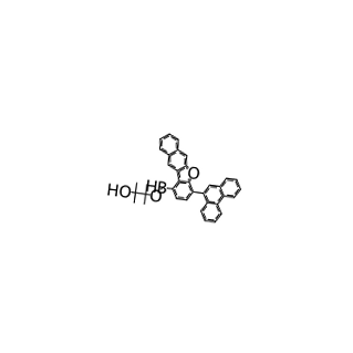 CC(C)(O)C(C)(C)OBc1ccc(-c2cc3ccccc3c3ccccc23)c2oc3cc4ccccc4cc3c12